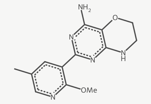 COc1ncc(C)cc1-c1nc(N)c2c(n1)NCCO2